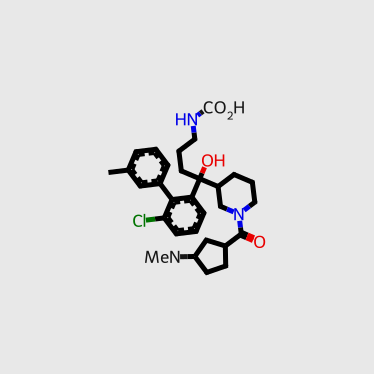 CNC1CCC(C(=O)N2CCCC(C(O)(CCCNC(=O)O)c3cccc(Cl)c3-c3cccc(C)c3)C2)C1